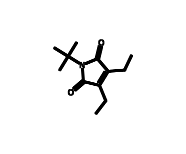 CCC1=C(CC)C(=O)N(C(C)(C)C)C1=O